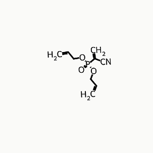 C=CCOP(=O)(OCC=C)C(=C)C#N